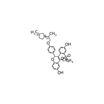 CC1=C(c2ccc(O)cc2S(C)(=O)=O)C(c2ccc(OC[C@H](C)N3CC[C@@H](C)C3)cc2)Oc2ccc(O)cc21